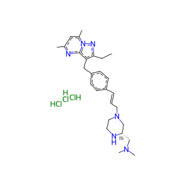 CCc1nn2c(C)cc(C)nc2c1Cc1ccc(C=CCN2CCN[C@@H](CN(C)C)C2)cc1.Cl.Cl.Cl